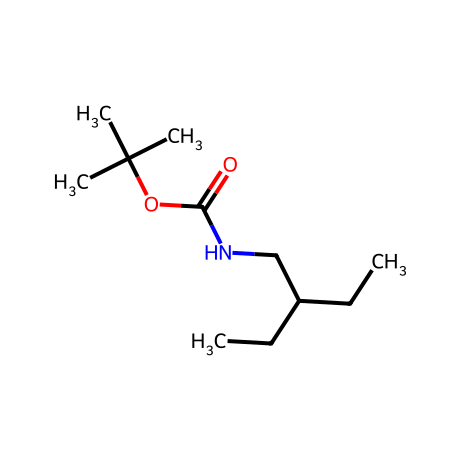 CCC(CC)CNC(=O)OC(C)(C)C